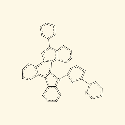 c1ccc(-c2cc3c4ccccc4c4c5ccccc5n(-c5cccc(-c6ccccn6)n5)c4c3c3ccccc23)cc1